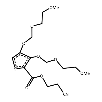 COCCOCOc1csc(C(=O)OCCC#N)c1OCOCCOC